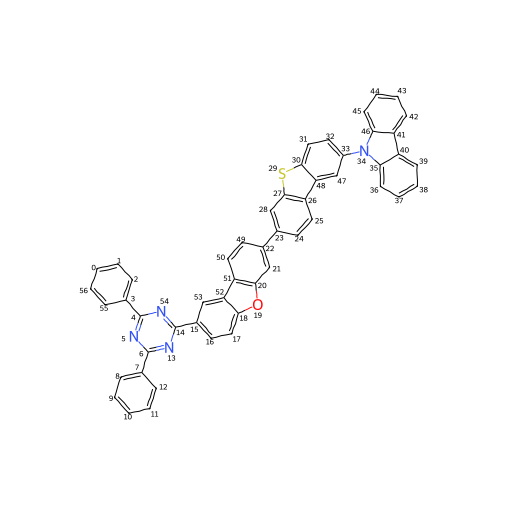 c1ccc(-c2nc(-c3ccccc3)nc(-c3ccc4oc5cc(-c6ccc7c(c6)sc6ccc(-n8c9ccccc9c9ccccc98)cc67)ccc5c4c3)n2)cc1